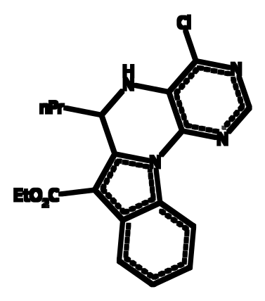 CCCC1Nc2c(Cl)ncnc2-n2c1c(C(=O)OCC)c1ccccc12